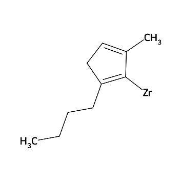 CCCCC1=[C]([Zr])C(C)=CC1